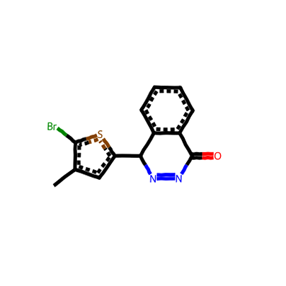 Cc1cc(C2N=NC(=O)c3ccccc32)sc1Br